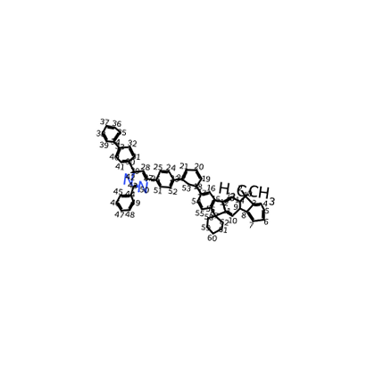 CC1(C)c2ccccc2C2C=C3C(=CC21)c1cc(C2C=CC=C(c4ccc(-c5cc(-c6ccc(-c7ccccc7)cc6)nc(-c6ccccc6)n5)cc4)C2)ccc1C31CCCCC1